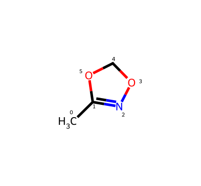 CC1=NOCO1